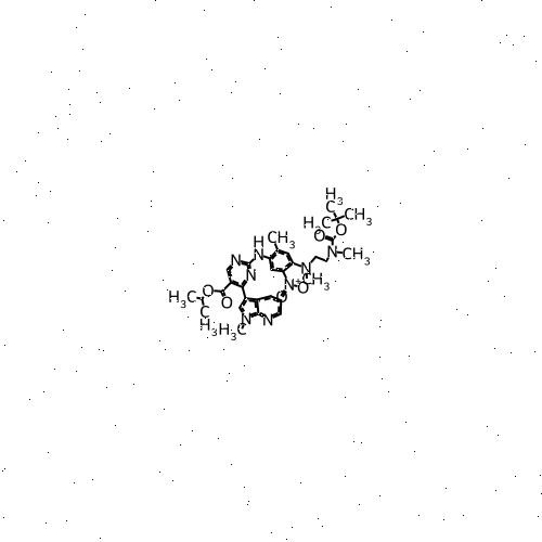 Cc1cc(N(C)CCN(C)C(=O)OC(C)(C)C)c([N+](=O)[O-])cc1Nc1ncc(C(=O)OC(C)C)c(-c2cn(C)c3ncccc23)n1